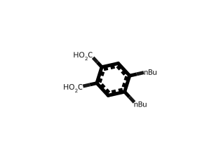 CCCCc1cc(C(=O)O)c(C(=O)O)cc1CCCC